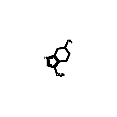 CCOC(=O)c1n[nH]c2c1CCC(C)C2